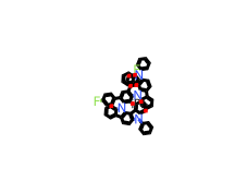 CC(C)c1c(-n2c3ccccc3c3ccc4c(c5ccccc5n4-c4ccccc4)c32)c(-c2ccc(F)cc2)cc(-c2ccc(F)cc2)c1-n1c2ccccc2c2ccc3c(c4ccccc4n3-c3ccccc3)c21